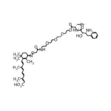 CC1=C(/C=C/C(C)=C/C=C/C(C)=C/C(=O)O)C(C)(C)CC/C1=N\OCC(=O)NCCOCCOCCOCCOC(=O)[C@H](CC(C)C)NC(=O)[C@@H](O)[C@H](N)Cc1ccccc1